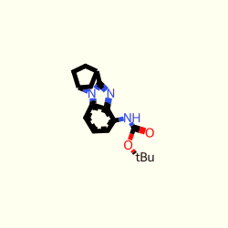 CC(C)(C)OC(=O)Nc1cccc2c1nc1n2C2CCC1C2